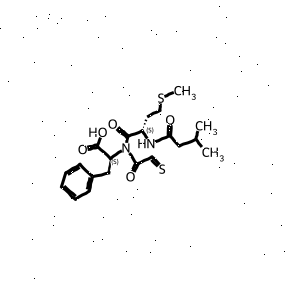 CSCC[C@H](NC(=O)CC(C)C)C(=O)N(C(=O)C=S)[C@@H](Cc1ccccc1)C(=O)O